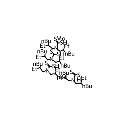 CCCCC(CC)CN(CC(CC)CCCC)C(=S)S.CCCCC(CC)CN(CC(CC)CCCC)C(=S)S.CCCCC(CC)CN(CC(CC)CCCC)C(=S)S.CCCCC(CC)CN(CC(CC)CCCC)C(=S)S.[Mo]